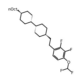 CCCCCCCC[C@H]1CC[C@H]([C@H]2CC[C@H](CCc3ccc(OC(F)F)c(F)c3F)CC2)CC1